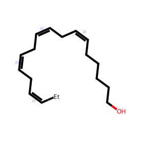 CC/C=C\C/C=C\C/C=C\C/C=C\CCCCCO